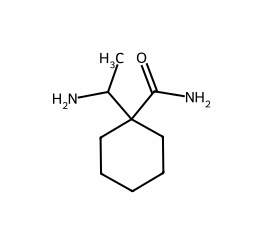 CC(N)C1(C(N)=O)CCCCC1